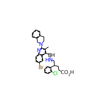 Cc1c(N2CCc3ccccc3C2)nc2ccc(Br)cc2c1BNCC(CCC(=O)O)c1ccccc1Cl